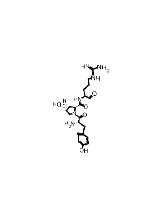 Cl.Cl.N=C(N)NCCC[C@@H](C=O)NC(=O)[C@@H]1CCCN1C(=O)[C@@H](N)Cc1ccc(O)cc1